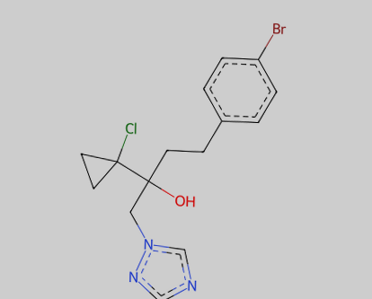 OC(CCc1ccc(Br)cc1)(Cn1cncn1)C1(Cl)CC1